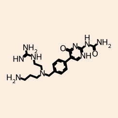 N=C(N)NCCN(CCCN)Cc1ccc(-c2c[nH]c(NC(N)=O)nc2=O)cc1